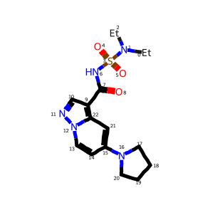 CCN(CC)S(=O)(=O)NC(=O)c1cnn2ccc(N3CCCC3)cc12